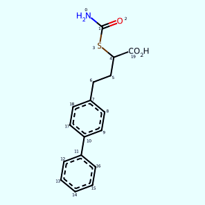 NC(=O)SC(CCc1ccc(-c2ccccc2)cc1)C(=O)O